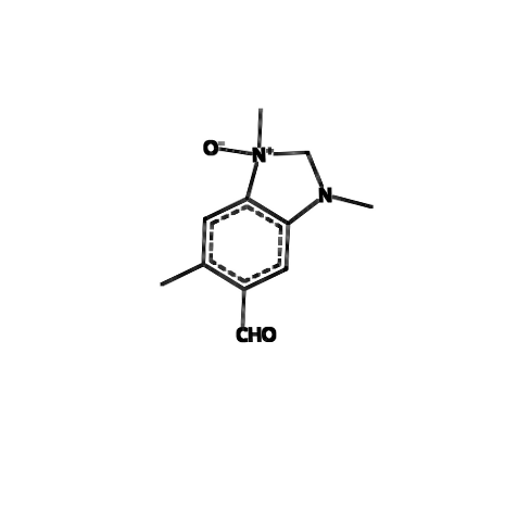 Cc1cc2c(cc1C=O)N(C)C[N+]2(C)[O-]